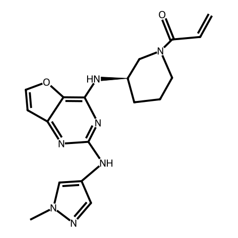 C=CC(=O)N1CCC[C@@H](Nc2nc(Nc3cnn(C)c3)nc3ccoc23)C1